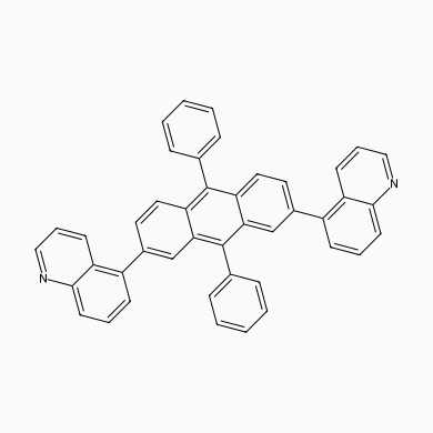 c1ccc(-c2c3ccc(-c4cccc5ncccc45)cc3c(-c3ccccc3)c3cc(-c4cccc5ncccc45)ccc23)cc1